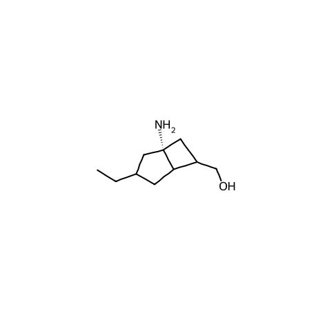 CCC1CC2C(CO)C[C@]2(N)C1